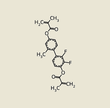 C=C(C)C(=O)Oc1ccc(-c2ccc(OC(=O)C(=C)C)c(F)c2F)c(C)c1